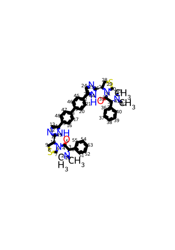 CN(C)[C@@H](C(=O)N1CSC[C@H]1c1ncc(-c2ccc(-c3ccc(-c4cnc([C@@H]5CSCN5C(=O)[C@@H](c5ccccc5)N(C)C)[nH]4)cc3)cc2)[nH]1)c1ccccc1